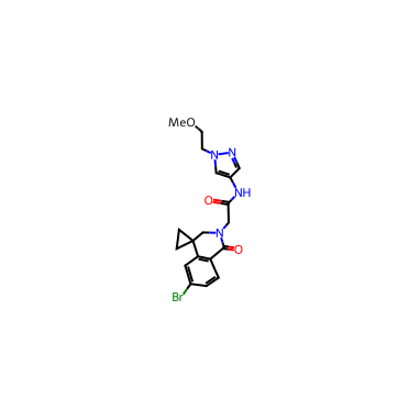 COCCn1cc(NC(=O)CN2CC3(CC3)c3cc(Br)ccc3C2=O)cn1